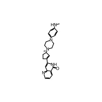 CNc1ccc(N2CCN([C@H]3C=C(c4cc5ncccc5c(=O)[nH]4)CC3)CC2)cc1